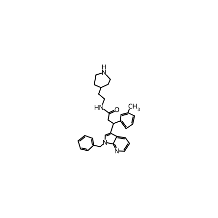 Cc1cccc(C(CC(=O)NCCC2CCNCC2)c2cn(Cc3ccccc3)c3ncccc23)c1